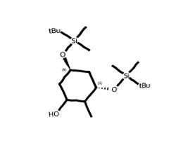 CC1C(O)C[C@@H](O[Si](C)(C)C(C)(C)C)C[C@@H]1O[Si](C)(C)C(C)(C)C